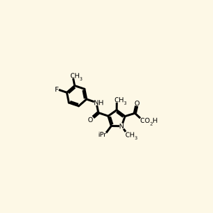 Cc1cc(NC(=O)c2c(C)c(C(=O)C(=O)O)n(C)c2C(C)C)ccc1F